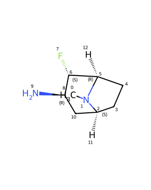 CN1[C@H]2CC[C@@H]1[C@@H](F)[C@H](N)C2